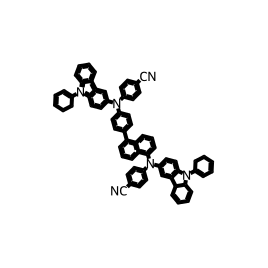 N#Cc1ccc(N(c2ccc(-c3cccc4c(N(c5ccc(C#N)cc5)c5ccc6c(c5)C5C=CC=CC5N6C5=CC=CCC5)cccc34)cc2)c2ccc3c(c2)c2ccccc2n3C2=CC=CCC2)cc1